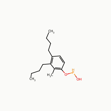 CCCCc1ccc(OPO)c(C)c1CCCC